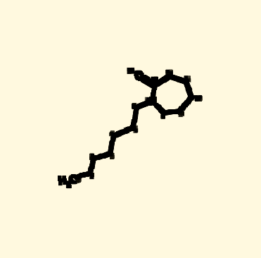 CCCCCCCN1CCCCCC1=O